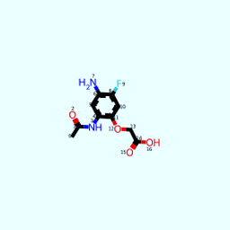 CC(=O)Nc1cc(N)c(F)cc1OCC(=O)O